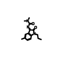 CCCN1C(=O)C(=NC(=O)N(C)C)c2cc(C)ccc21